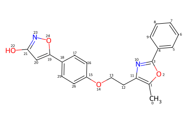 Cc1oc(-c2ccccc2)nc1CCOc1ccc(-c2cc(O)no2)cc1